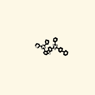 c1ccc(-c2ccc(-c3nc(-c4ccccc4)nc(-c4ccc5c(c4)oc4cccc(-c6nc(-c7ccccc7)nc(-c7ccccc7)n6)c45)n3)cc2)cc1